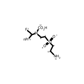 CCCC(F)N(CCS(=O)(=O)CCN)C(=O)O